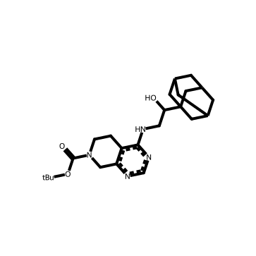 CC(C)(C)OC(=O)N1CCc2c(ncnc2NCC(O)C23CC4CC(CC(C4)C2)C3)C1